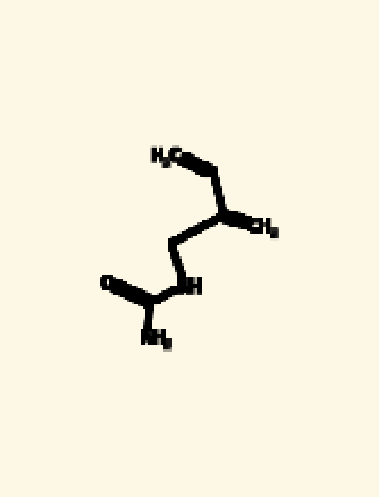 C=CC(=C)CNC(N)=O